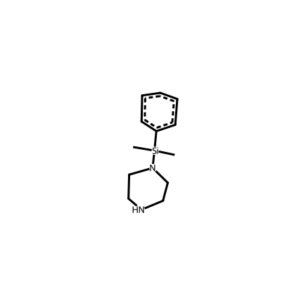 C[Si](C)(c1ccccc1)N1CCNCC1